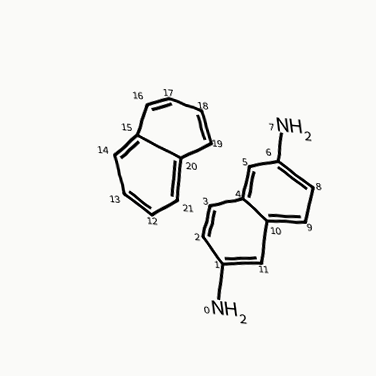 Nc1ccc2cc(N)ccc2c1.c1ccc2ccccc2c1